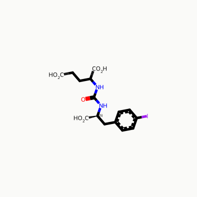 O=C(O)CCC(NC(=O)N[C@@H](Cc1ccc(I)cc1)C(=O)O)C(=O)O